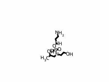 CC(O)CN(CCO)S(=O)(=O)ONCCN